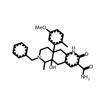 COc1ccc(C)c(C23CCN(Cc4ccccc4)C(C)C2(O)Cc2cc(C(N)=O)c(=O)[nH]c2C3)c1